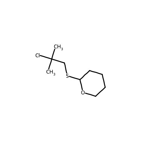 CC(C)(Cl)CSC1CCCCO1